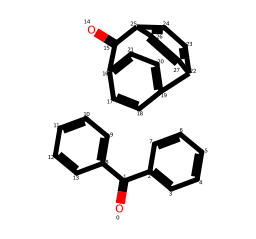 O=C(c1ccccc1)c1ccccc1.O=C1c2ccc(cc2)-c2ccc1cc2